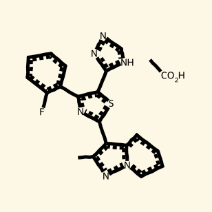 CC(=O)O.Cc1nn2ccccc2c1-c1nc(-c2ccccc2F)c(-c2nnc[nH]2)s1